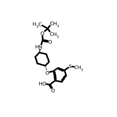 CSc1ccc(C(=O)O)c(O[C@H]2CC[C@H](NC(=O)OC(C)(C)C)CC2)c1